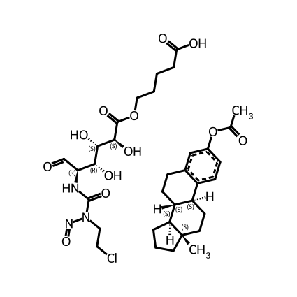 CC(=O)Oc1ccc2c(c1)CC[C@@H]1[C@@H]2CC[C@]2(C)CCC[C@@H]12.O=C[C@H](NC(=O)N(CCCl)N=O)[C@@H](O)[C@H](O)[C@H](O)C(=O)OCCCCC(=O)O